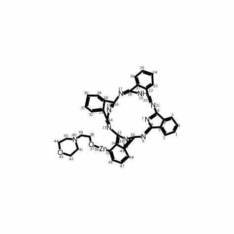 c1ccc2c(c1)-c1nc-2nc2[nH]c(nc3nc(nc4[nH]c(n1)c1ccccc41)-c1ccccc1-3)c1[c]([Zn][O]CCN3CCOCC3)cccc21